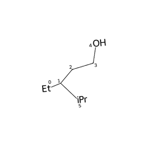 [CH2]CC(CCO)C(C)C